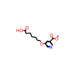 COC(=O)c1cncc(OCCCCCCC(=O)O)c1